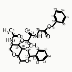 CC(=O)NC1COC2COC(c3ccccc3)OC2C1O[C@H](C)C(=O)NCC(=O)OCc1ccccc1